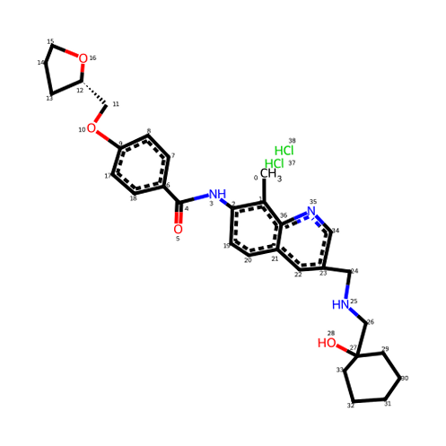 Cc1c(NC(=O)c2ccc(OC[C@@H]3CCCO3)cc2)ccc2cc(CNCC3(O)CCCCC3)cnc12.Cl.Cl